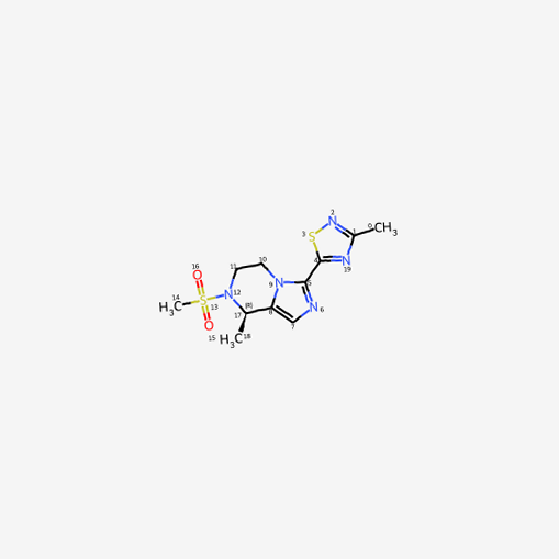 Cc1nsc(-c2ncc3n2CCN(S(C)(=O)=O)[C@@H]3C)n1